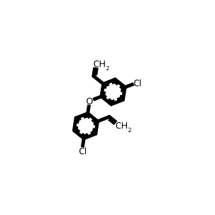 C=Cc1cc(Cl)ccc1Oc1ccc(Cl)cc1C=C